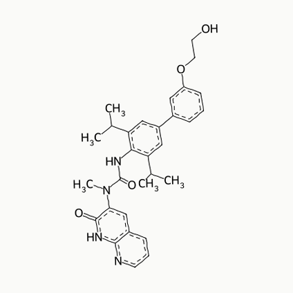 CC(C)c1cc(-c2cccc(OCCO)c2)cc(C(C)C)c1NC(=O)N(C)c1cc2cccnc2[nH]c1=O